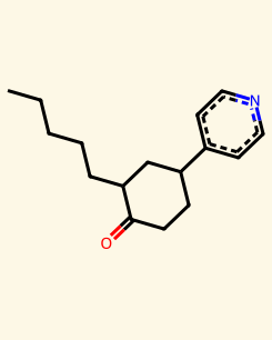 CCCCCC1CC(c2ccncc2)CCC1=O